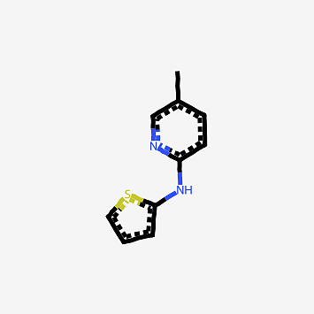 Cc1ccc(Nc2cccs2)nc1